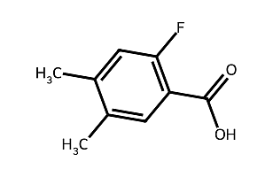 Cc1cc(F)c(C(=O)O)cc1C